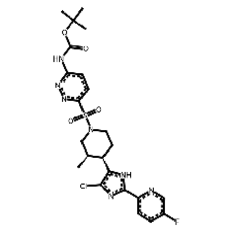 C[C@H]1CN(S(=O)(=O)c2ccc(NC(=O)OC(C)(C)C)nn2)CC[C@H]1c1[nH]c(-c2ccc(F)cn2)nc1Cl